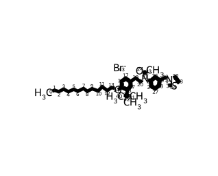 CCCCCCCCCCCCCCOc1ccc(CCN(C(C)=O)c2cccc(C[n+]3ccsc3)c2)cc1C(C)(C)C.[Br-]